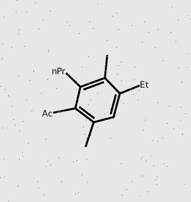 CCCc1c(C)c(CC)cc(C)c1C(C)=O